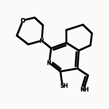 N=Cc1c(S)nc(N2CCOCC2)c2c1CCCC2